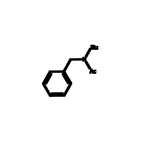 CCC(C)N(Cc1ccccc1)C(C)=O